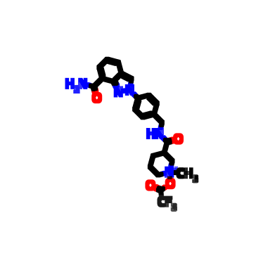 C[N+]1(OC(=O)C(F)(F)F)CCCC(C(=O)NCc2ccc(-n3cc4cccc(C(N)=O)c4n3)cc2)C1